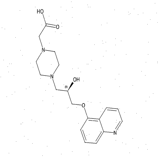 O=C(O)CN1CCN(C[C@@H](O)COc2cccc3ncccc23)CC1